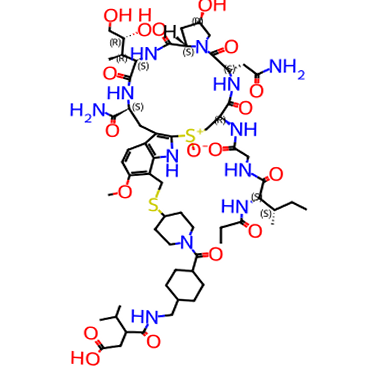 CCC(=O)N[C@H](C(=O)NCC(=O)N[C@H]1C[S+]([O-])c2[nH]c3c(CSC4CCN(C(=O)C5CCC(CNC(=O)C(CC(=O)O)C(C)C)CC5)CC4)c(OC)ccc3c2C[C@@H](C(N)=O)NC(=O)[C@H]([C@@H](C)[C@@H](O)CO)NC(=O)[C@@H]2C[C@@H](O)CN2C(=O)[C@H](CC(N)=O)NC1=O)[C@@H](C)CC